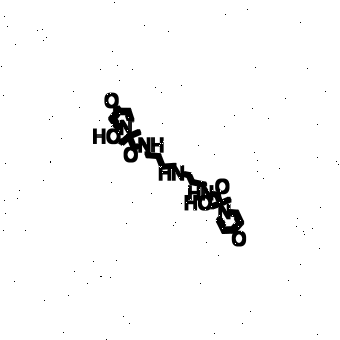 CC(CO)(C(=O)NCCCCNCCCNC(=O)C(C)(CO)n1ccc(=O)cc1)n1ccc(=O)cc1